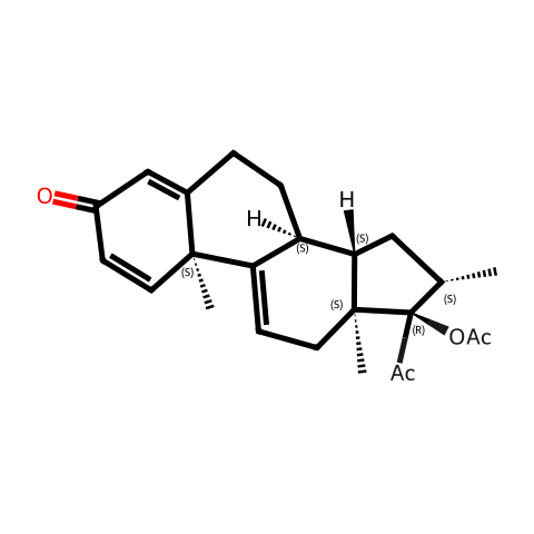 CC(=O)O[C@]1(C(C)=O)[C@@H](C)C[C@H]2[C@@H]3CCC4=CC(=O)C=C[C@]4(C)C3=CC[C@@]21C